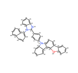 c1ccc2c(-n3c(-c4ccc(-n5c6ccccc6c6c7oc8ccccc8c7ccc65)cc4)nc4ccccc43)cccc2c1